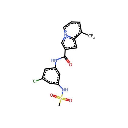 CS(=O)(=O)Nc1cc(Cl)cc(NC(=O)c2cc3c(C(F)(F)F)cccn3c2)c1